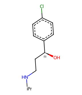 CC(C)NCC[C@H](O)c1ccc(Cl)cc1